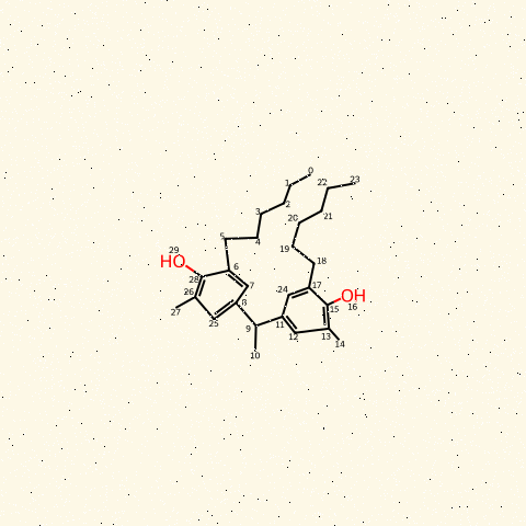 CCCCCCc1cc(C(C)c2cc(C)c(O)c(CCCCCC)c2)cc(C)c1O